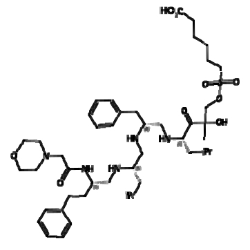 CC(C)C[C@@H](CN[C@@H](CN[C@@H](CC(C)C)C(=O)C(C)(O)COS(=O)(=O)CCCCCC(=O)O)Cc1ccccc1)NC[C@H](CCc1ccccc1)NC(=O)CN1CCOCC1